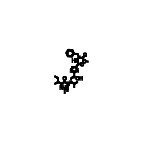 CCCN(C(=O)[C@@H](N)C(C)CC)[C@H](C[C@@H](O)c1nc(C(=O)N[C@@H](Cc2ccccc2)C(=O)OC)cs1)C(C)C